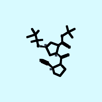 CC(C)(C)OC(=O)N1C[C@@H](O[Si](C)(C)C(C)(C)C)C[C@H]1C(=O)N1CCC[C@H]1C#N